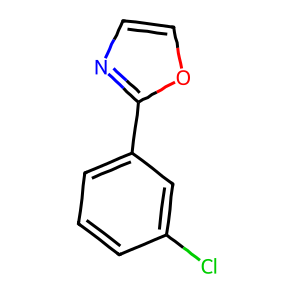 Clc1cccc(-c2ncco2)c1